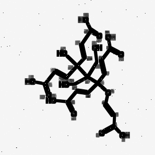 O=C(O)C=COC(C=CC(=O)O)(C=CC(=O)O)C(CO)(CO)C(O)(C=CC(=O)O)C=CC(=O)O